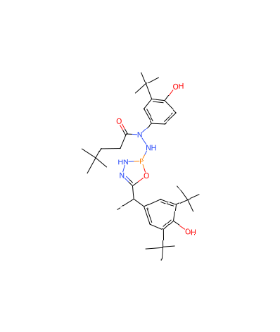 CC(C1=NNP(NN(C(=O)CCC(C)(C)C)c2ccc(O)c(C(C)(C)C)c2)O1)c1cc(C(C)(C)C)c(O)c(C(C)(C)C)c1